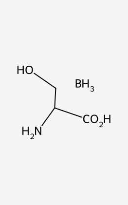 B.NC(CO)C(=O)O